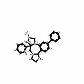 BrN1CN2c3cc(-c4ccccc4)ccc3C3OCCN3CC2(c2ccccn2)N1